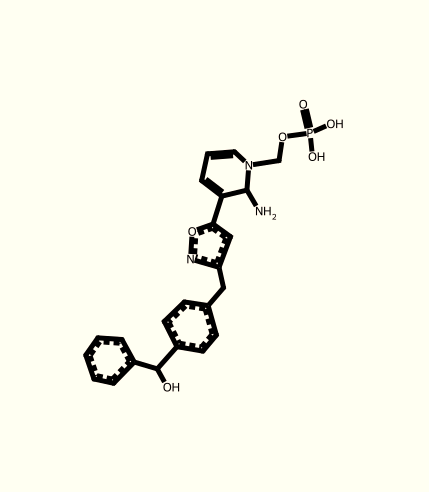 NC1C(c2cc(Cc3ccc(C(O)c4ccccc4)cc3)no2)=CC=CN1COP(=O)(O)O